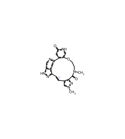 CN1CCOc2c[nH]c(=O)cc2-c2cc3c(n[nH]c3cn2)/C=C/c2cn(C)nc2C1=O